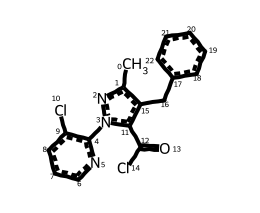 Cc1nn(-c2ncccc2Cl)c(C(=O)Cl)c1Cc1ccccc1